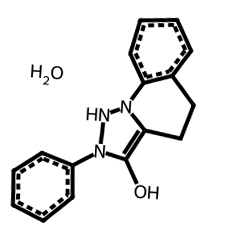 O.OC1=C2CCc3ccccc3N2NN1c1ccccc1